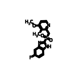 COc1ccnc(CS(=O)(=O)c2nc3cc(F)ccc3[nH]2)c1C